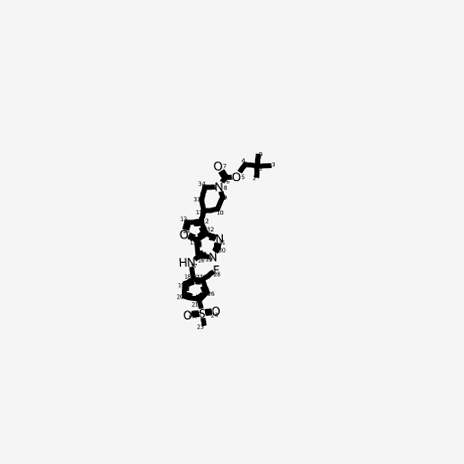 CC(C)(C)COC(=O)N1CCC(c2coc3c(Nc4ccc(S(C)(=O)=O)cc4F)ncnc23)CC1